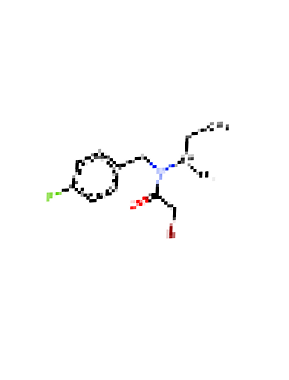 COC[C@H](C)N(Cc1ccc(F)cc1)C(=O)CBr